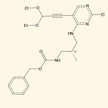 CCOC(C#Cc1cnc(Cl)nc1NC[C@H](C)CNC(=O)OCc1ccccc1)OCC